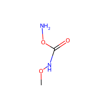 CONC(=O)ON